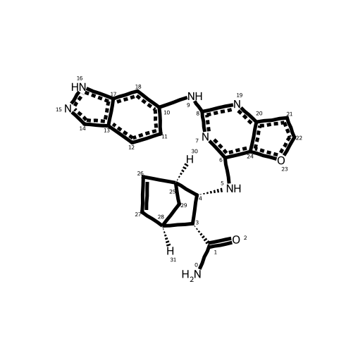 NC(=O)[C@H]1[C@@H](Nc2nc(Nc3ccc4cn[nH]c4c3)nc3ccoc23)[C@@H]2C=C[C@H]1C2